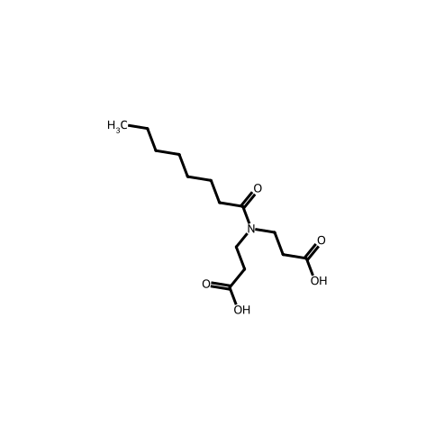 CCCCCCCC(=O)N(CCC(=O)O)CCC(=O)O